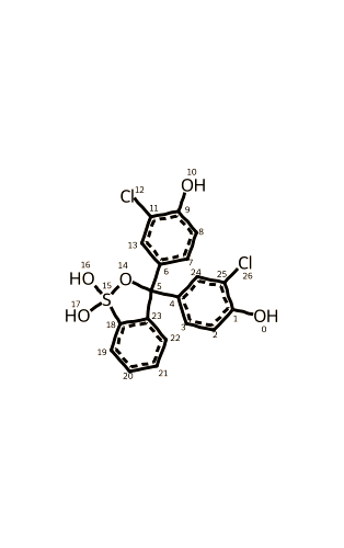 Oc1ccc(C2(c3ccc(O)c(Cl)c3)OS(O)(O)c3ccccc32)cc1Cl